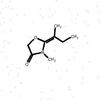 CC/C(C)=C1/OCC(=O)N1C